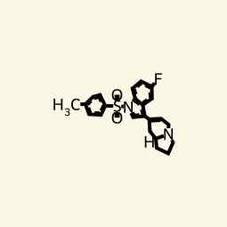 Cc1ccc(S(=O)(=O)n2cc(C3=CCN4CCC[C@@H]4C3)c3cc(F)ccc32)cc1